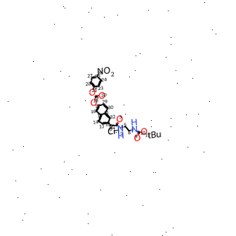 C[C@@H](C(=O)NCCNC(=O)OC(C)(C)C)c1ccc2cc(OC(=O)Oc3ccc([N+](=O)[O-])cc3)ccc2c1